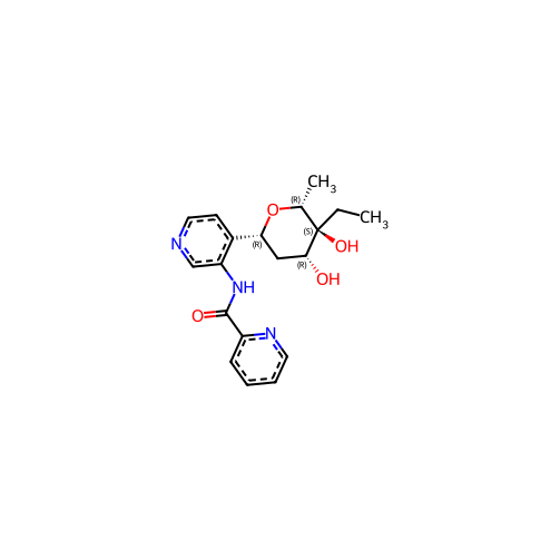 CC[C@]1(O)[C@H](O)C[C@H](c2ccncc2NC(=O)c2ccccn2)O[C@@H]1C